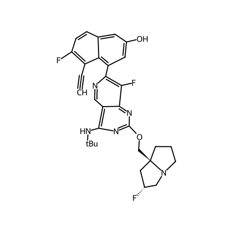 C#Cc1c(F)ccc2cc(O)cc(-c3ncc4c(NC(C)(C)C)nc(OC[C@@]56CCCN5C[C@H](F)C6)nc4c3F)c12